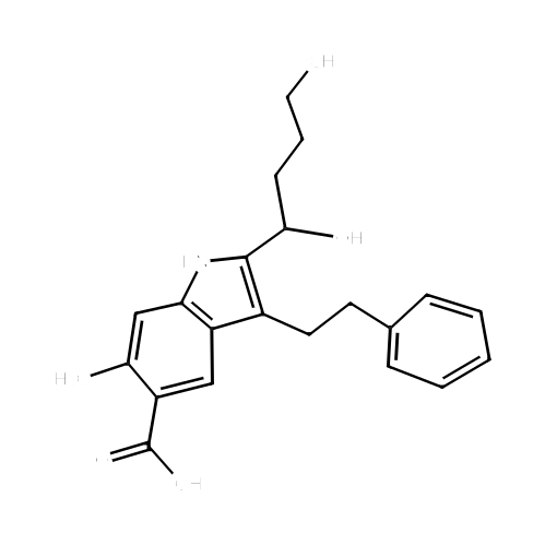 CCCCC(O)c1[nH]c2cc(C)c(C(=O)O)cc2c1CCc1ccccc1